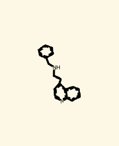 c1ccc(CNCCc2ccnc3ccccc23)cc1